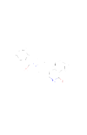 O=C(c1ccccc1)N1CCC(c2c[nH]c(=O)c3cc(F)ccc23)C1